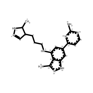 CC1NN=CC1CCCNc1cc(-c2ccnc(N)n2)cc2[nH]nc(N)c12